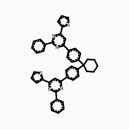 c1ccc(-c2nc(-c3ccc(C4(c5ccc(-c6cc(-c7cccs7)nc(-c7ccccc7)n6)cc5)CCCCC4)cc3)cc(-c3cccs3)n2)cc1